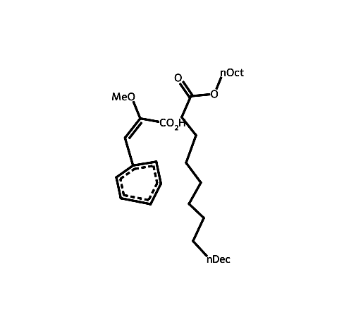 CCCCCCCCCCCCCCCCCC(=O)OCCCCCCCC.COC(=Cc1ccccc1)C(=O)O